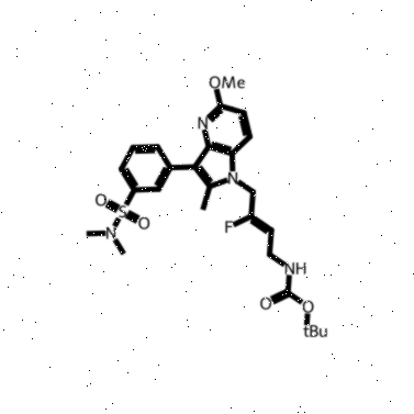 COc1ccc2c(n1)c(-c1cccc(S(=O)(=O)N(C)C)c1)c(C)n2C/C(F)=C/CNC(=O)OC(C)(C)C